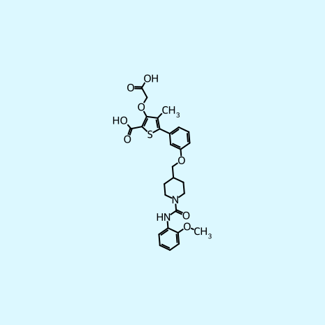 COc1ccccc1NC(=O)N1CCC(COc2cccc(-c3sc(C(=O)O)c(OCC(=O)O)c3C)c2)CC1